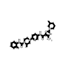 CC1CCCN(c2nc(C(F)(F)F)c(C(=O)Nc3ccc(N4CCN(C(=O)Nc5ccccc5F)C(C)C4)nc3)o2)C1